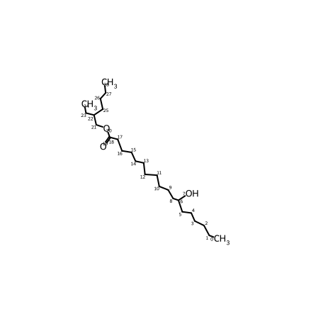 CCCCCCC(O)CCCCCCCCCCC(=O)OCC(CC)CCCC